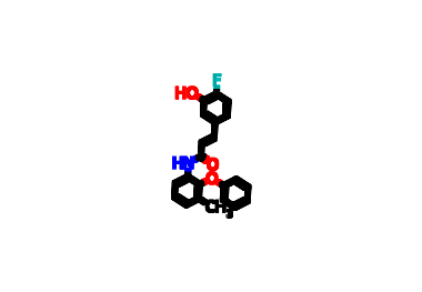 Cc1cccc(NC(=O)C=Cc2ccc(F)c(O)c2)c1Oc1ccccc1